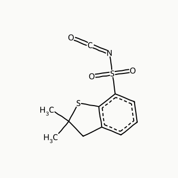 CC1(C)Cc2cccc(S(=O)(=O)N=C=O)c2S1